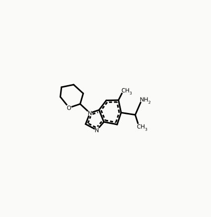 Cc1cc2c(cc1C(C)N)ncn2C1CCCCO1